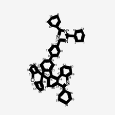 c1ccc(-c2nc(-c3ccccc3)nc(-c3ccc(-c4ccc5c(c4)-c4c(ccc6c(-c7ccccc7)nc7ccccc7c46)C54c5ccccc5Oc5ccccc54)cc3)n2)cc1